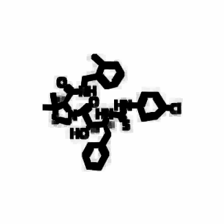 Cc1ccccc1CNC(=O)[C@H]1N(C(=O)[C@@H](O)[C@H](Cc2ccccc2)NC(=S)Nc2ccc(Cl)cc2)CSC1(C)C